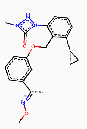 CO/N=C(\C)c1cccc(OCc2c(C3CC3)cccc2-n2[nH]n(C)c2=O)c1